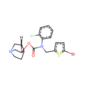 O=C(O[C@H]1CN2CCC1CC2)N(Cc1ccc(Br)s1)c1ccccc1F